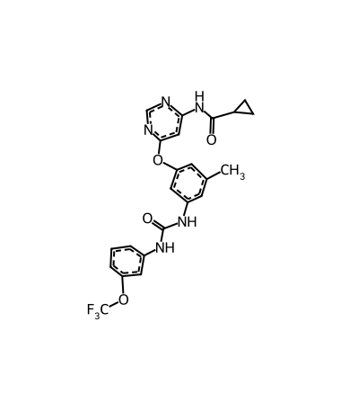 Cc1cc(NC(=O)Nc2cccc(OC(F)(F)F)c2)cc(Oc2cc(NC(=O)C3CC3)ncn2)c1